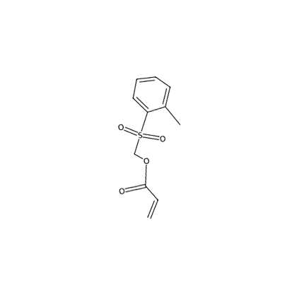 C=CC(=O)OCS(=O)(=O)c1ccccc1C